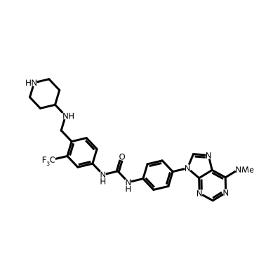 CNc1ncnc2c1ncn2-c1ccc(NC(=O)Nc2ccc(CNC3CCNCC3)c(C(F)(F)F)c2)cc1